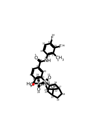 Cc1c(NC(=O)c2ccc(Cl)c(S(=O)(=O)[C@H]3CC4CCC(C3)[C@]4(O)CNS(C)(=O)=O)c2)ccc(F)c1F